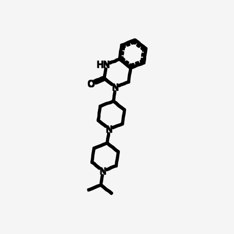 CC(C)N1CCC(N2CCC(N3Cc4ccccc4NC3=O)CC2)CC1